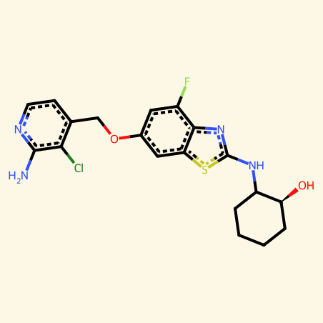 Nc1nccc(COc2cc(F)c3nc(NC4CCCC[C@@H]4O)sc3c2)c1Cl